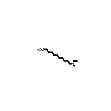 C=C[SiH](C)CCCCCCCCCCCCCCCCCC